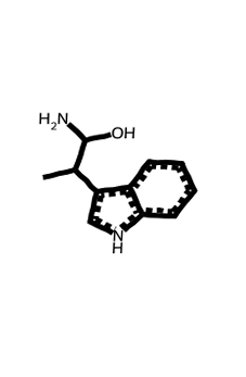 CC(c1c[nH]c2ccccc12)C(N)O